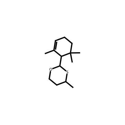 CC1=CCCC(C)(C)C1C1OCCC(C)S1